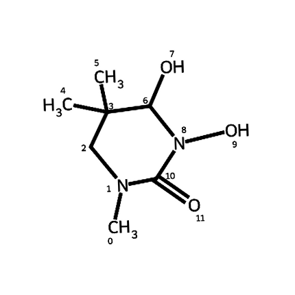 CN1CC(C)(C)C(O)N(O)C1=O